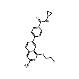 Nc1nc(OCCF)c2cc(-c3ccc(C(=O)NC4CC4)cc3)ccc2n1